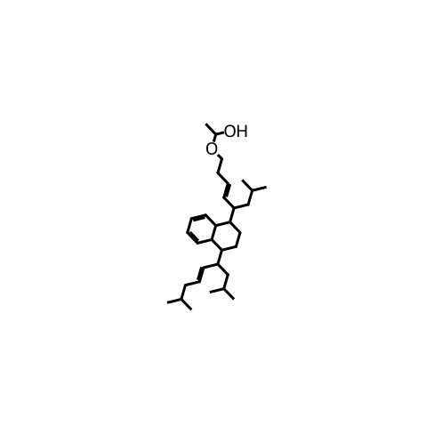 CC(C)C/C=C/C(CC(C)C)C1CCC(C(/C=C/CCOC(C)O)CC(C)C)C2C=CC=CC21